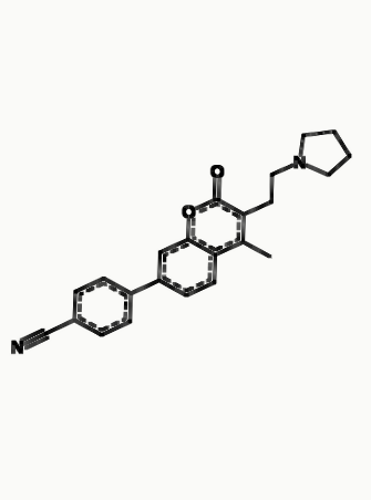 Cc1c(CCN2CCCC2)c(=O)oc2cc(-c3ccc(C#N)cc3)ccc12